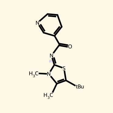 Cc1c(C(C)(C)C)s/c(=N\C(=O)c2cccnc2)n1C